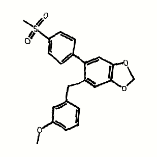 COc1cccc(Cc2cc3c(cc2-c2ccc(S(C)(=O)=O)cc2)OCO3)c1